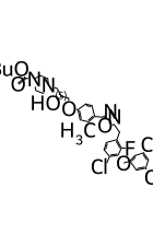 Cc1cc(OC[C@@H](O)CN2CCN(C(=O)OCC(C)C)CC2)ccc1-c1nnc(Cc2ccc(Cl)c(Oc3cc(Cl)cc(C#N)c3)c2F)o1